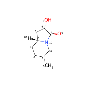 C[C@@H]1CC[C@@H]2C[C@H](O)C(=O)N2C1